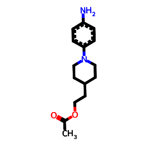 CC(=O)OCCC1CCN(c2ccc(N)cc2)CC1